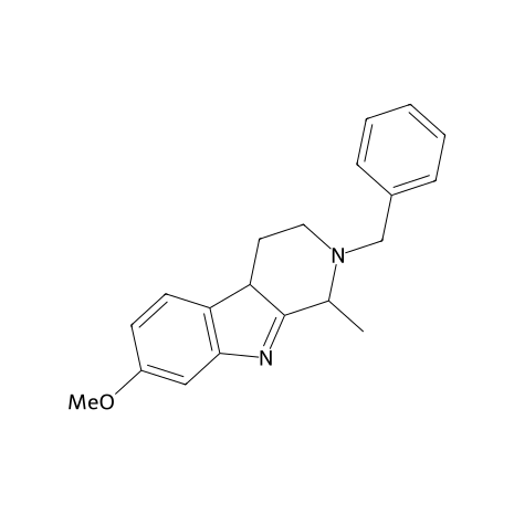 COc1ccc2c(c1)N=C1C2CCN(Cc2ccccc2)C1C